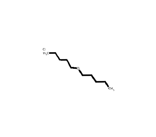 CCCCCOCCCCC.[C]